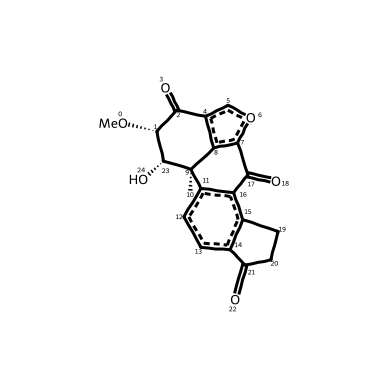 CO[C@@H]1C(=O)c2coc3c2[C@@](C)(c2ccc4c(c2C3=O)CCC4=O)[C@@H]1O